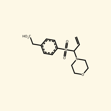 C=CC(N1CCOCC1)S(=O)(=O)c1ccc(CC(=O)O)cc1